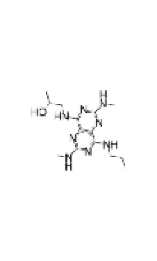 CCCNc1nc(NC)nc2c(NC[C@H](C)O)nc(NC)nc12